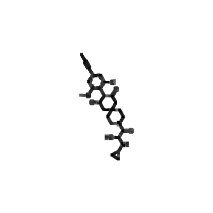 CC#Cc1cc(Cl)c(C2C(=O)CC3(CCN(C(=O)C(O)NC4CC4)CC3)CC2=O)c(OC)c1